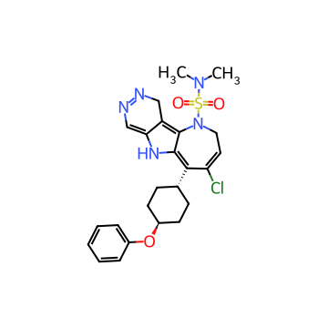 CN(C)S(=O)(=O)N1CC=C(Cl)C([C@H]2CC[C@H](Oc3ccccc3)CC2)=c2[nH]c3c(c21)CN=NC=3